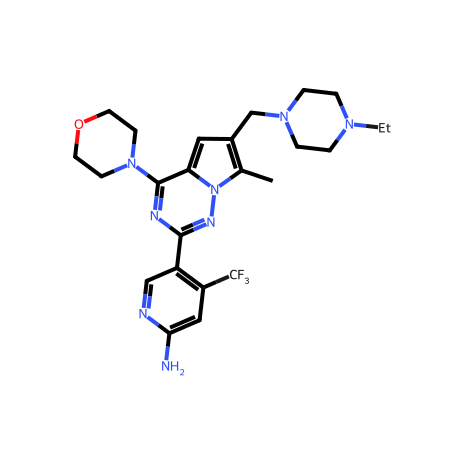 CCN1CCN(Cc2cc3c(N4CCOCC4)nc(-c4cnc(N)cc4C(F)(F)F)nn3c2C)CC1